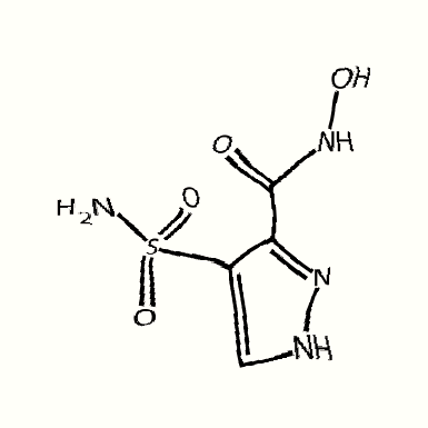 NS(=O)(=O)c1c[nH]nc1C(=O)NO